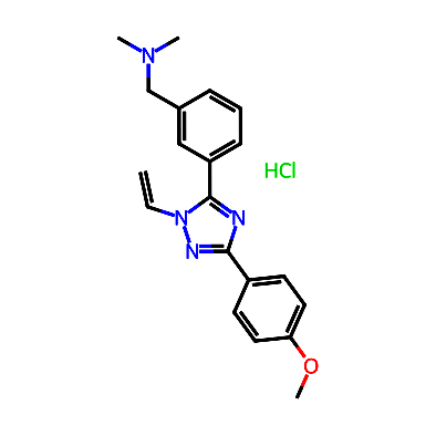 C=Cn1nc(-c2ccc(OC)cc2)nc1-c1cccc(CN(C)C)c1.Cl